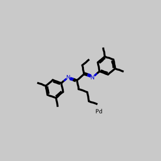 CCCCC(=N\c1cc(C)cc(C)c1)/C(CC)=N/c1cc(C)cc(C)c1.[Pd]